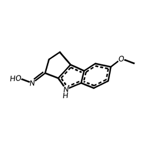 COc1ccc2[nH]c3c(c2c1)CCC3=NO